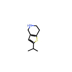 CC(C)c1cc2c(s1)CCNC2